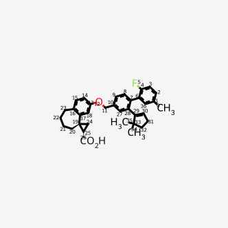 Cc1ccc(F)c(-c2ccc(COc3ccc4c(c3)[C@]3(CCCC4)C[C@@H]3C(=O)O)cc2C2=CCCC2(C)C)c1